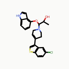 CC(O)C(Oc1cccc2[nH]ccc12)N1CC=C(c2csc3ccc(Cl)cc23)CC1